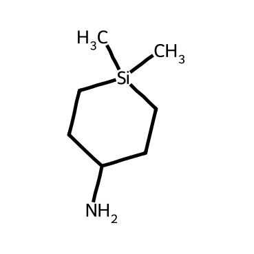 C[Si]1(C)CCC(N)CC1